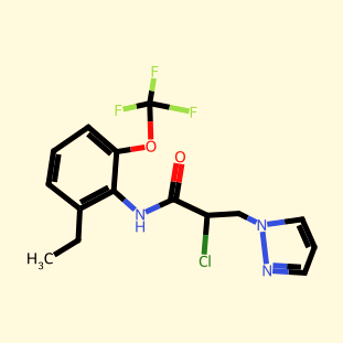 CCc1cccc(OC(F)(F)F)c1NC(=O)C(Cl)Cn1cccn1